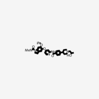 CNC(=O)n1ccc2cc(Oc3ccnc(NC(=O)c4ccc(C5CCN(CC(C)O)CC5)cc4)c3)c(OC(C)C)cc21